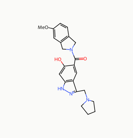 COc1ccc2c(c1)CN(C(=O)c1cc3c(CN4CCCC4)n[nH]c3cc1O)C2